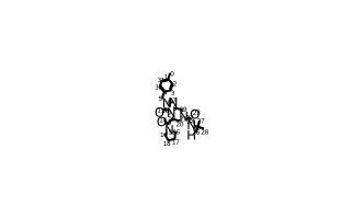 Cc1ccc(Cn2nc3n(c2=O)C(C(=O)N2CCCC2)CN(C(=O)NC(C)(C)C)C3)cc1